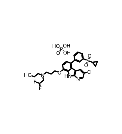 O=P(O)(O)O.O=S(=O)(c1cccc(-c2ccc(OCCCN(CCO)CC(F)F)c3[nH]c4ncc(Cl)cc4c23)c1)C1CC1